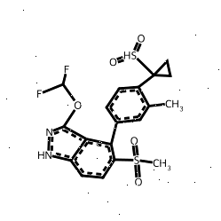 Cc1cc(-c2c(S(C)(=O)=O)ccc3[nH]nc(OC(F)F)c23)ccc1C1([SH](=O)=O)CC1